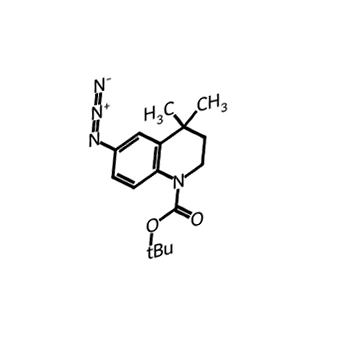 CC(C)(C)OC(=O)N1CCC(C)(C)c2cc(N=[N+]=[N-])ccc21